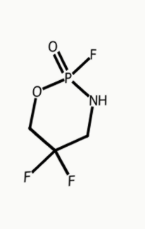 O=P1(F)NCC(F)(F)CO1